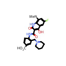 CNc1cc(F)cc2c(O)c(C(=O)Nc3ccc(C(=O)O)cc3CN3CCCCC3)c(=O)[nH]c12